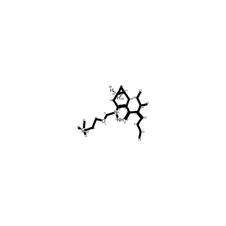 C=C(C1=C(N(N)COCC[Si](C)(C)C)C[C@H]2C[C@H]2C1)/C(=C\CCC)C(C)CC